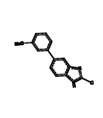 COc1cccc(-c2ccc3[nH]c(Cl)nc3c2)c1